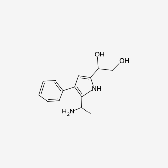 CC(N)c1[nH]c(C(O)CO)cc1-c1ccccc1